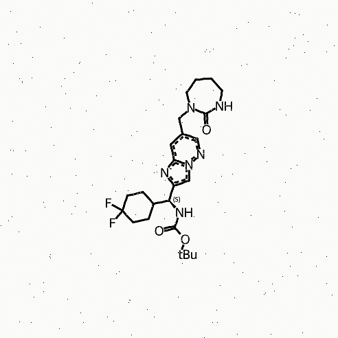 CC(C)(C)OC(=O)N[C@H](c1cn2ncc(CN3CCCCNC3=O)cc2n1)C1CCC(F)(F)CC1